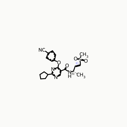 C[C@@H](/C=C/S(C)(=O)=O)NC(=O)c1cnc(C2CCCC2)nc1Oc1ccc(C#N)cc1